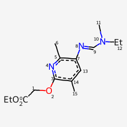 CCOC(=O)COc1nc(C)c(/N=C/N(C)CC)cc1C